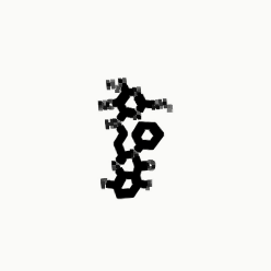 N#Cc1c(N)nc(N)nc1NCCc1nc2c(F)ccc(F)c2c(=O)n1-c1ccccc1